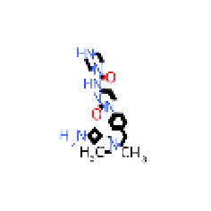 CCN(C[C@H]1C[C@@H](N)C1)C(C)Cc1ccc(-n2ccc(NC(=O)N3CCNCC3)nc2=O)cc1